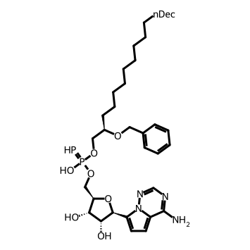 CCCCCCCCCCCCCCCCCCC[C@H](COP(O)(=P)OC[C@H]1O[C@@H](c2ccc3c(N)ncnn23)[C@H](O)[C@@H]1O)OCc1ccccc1